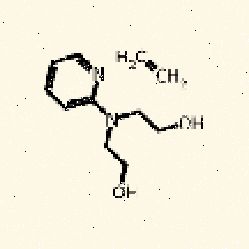 C=C.OCCN(CCO)c1ccccn1